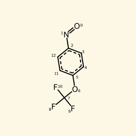 O=Nc1ccc(OC(F)(F)F)cc1